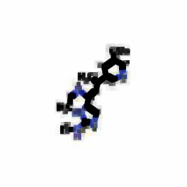 C=C(/C=C(\N=C/C)c1cnc(NCC)[nH]1)c1cncc(OC)c1